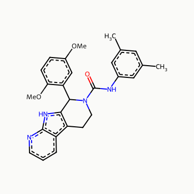 COc1ccc(OC)c(C2c3[nH]c4ncccc4c3CCN2C(=O)Nc2cc(C)cc(C)c2)c1